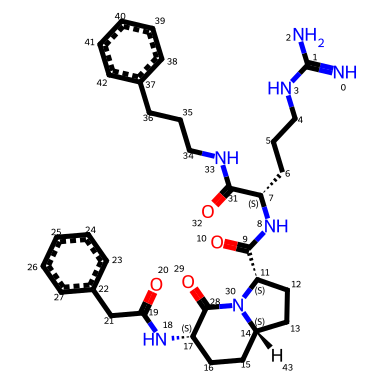 N=C(N)NCCC[C@H](NC(=O)[C@@H]1CC[C@@H]2CC[C@H](NC(=O)Cc3ccccc3)C(=O)N21)C(=O)NCCCc1ccccc1